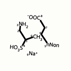 CC(CN)S(=O)(=O)O.CCCCCCCCCCCC(=O)[O-].[Na+]